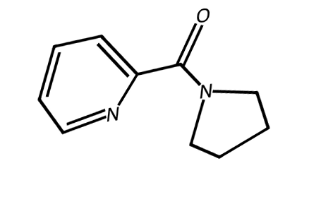 O=C(c1ccccn1)N1CCCC1